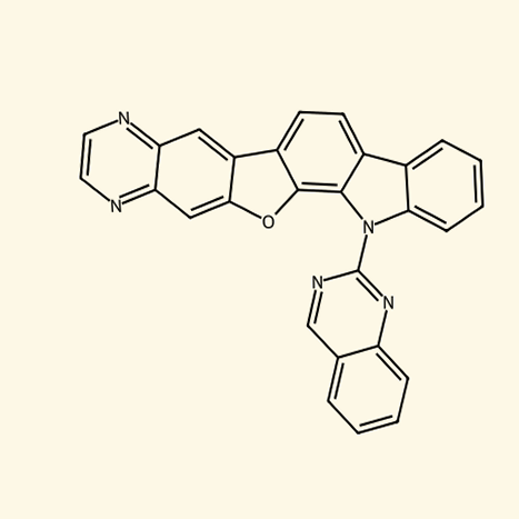 c1ccc2nc(-n3c4ccccc4c4ccc5c6cc7nccnc7cc6oc5c43)ncc2c1